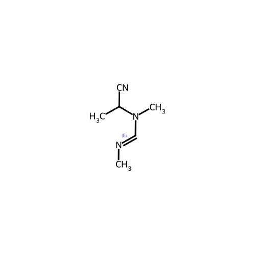 C/N=C/N(C)C(C)C#N